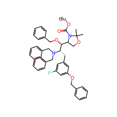 CC(C)(C)OC(=O)N1C([C@H](OCc2ccccc2)[C@H](Cc2cc(F)cc(OCc3ccccc3)c2)N(Cc2ccccc2)Cc2ccccc2)COC1(C)C